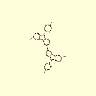 Cc1ccc(-n2c3ccc(C)cc3c3cc(-c4ccc5c(c4)c4cc(C)ccc4n5-c4ccc(C)cc4)ccc32)cc1